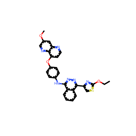 CCOc1nc(-c2nnc(Nc3ccc(Oc4ccnc5cc(OC)cnc45)cc3)c3ccccc23)cs1